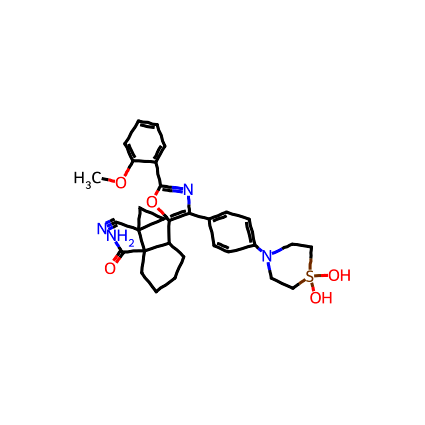 COc1ccccc1-c1nc(-c2ccc(N3CCS(O)(O)CC3)cc2)c(C2CCCCC2(C(N)=O)C2(C#N)CC2)o1